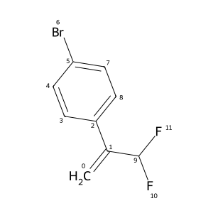 C=C(c1ccc(Br)cc1)C(F)F